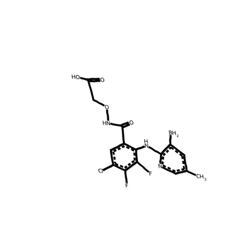 Bc1cc(C)cnc1Nc1c(C(=O)NOCC(=O)O)cc(Cl)c(F)c1F